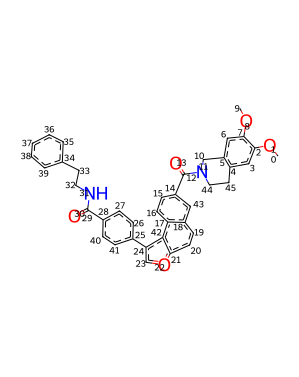 COc1cc2c(cc1OC)CN(C(=O)c1ccc3c(ccc4occ(-c5ccc(C(=O)NCCc6ccccc6)cc5)c43)c1)CC2